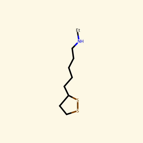 [CH2]CNCCCCCC1CCSS1